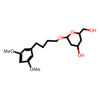 COc1cc(CCCCOC2CC(O)CC(CO)O2)cc(OC)c1